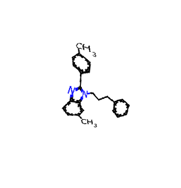 Cc1ccc(-c2nc3ccc(C)cc3n2CCCc2ccccc2)cc1